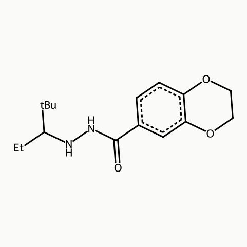 CCC(NNC(=O)c1ccc2c(c1)OCCO2)C(C)(C)C